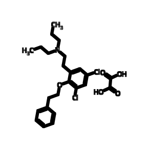 CCCN(CCC)CCc1cc(Cl)cc(Cl)c1OCCc1ccccc1.O=C(O)C(=O)O